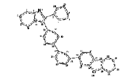 c1ccc(-c2nc3ccccn3c2-c2ccc(-c3cccc(-c4ccc5c(c4)oc4ccccc45)c3)cc2)cc1